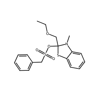 CCOCC1(OS(=O)(=O)Cc2ccccc2)Sc2ccccc2N1C